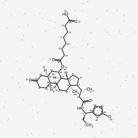 CC[C@@H](NC(=O)C[C@@H](C)C1CC[C@H]2[C@@H]3[C@H](OC(=O)CCCCCCC(=O)O)C[C@@H]4CC(=O)CC[C@]4(C)[C@H]3CC[C@]12C)c1ccc(Cl)s1